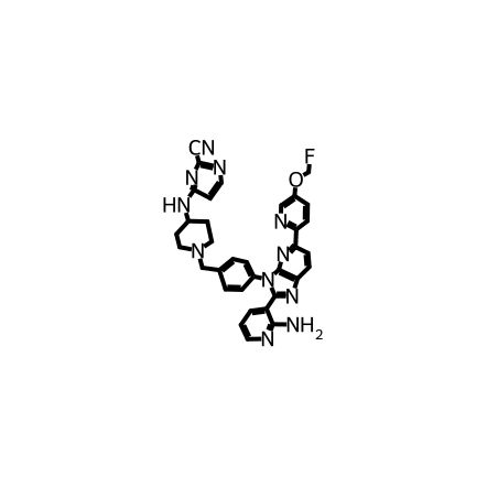 N#Cc1nccc(NC2CCN(Cc3ccc(-n4c(-c5cccnc5N)nc5ccc(-c6ccc(OCF)cn6)nc54)cc3)CC2)n1